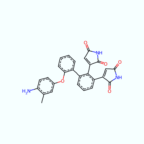 Cc1cc(Oc2ccccc2-c2cccc(C3=CC(=O)NC3=O)c2C2=CC(=O)NC2=O)ccc1N